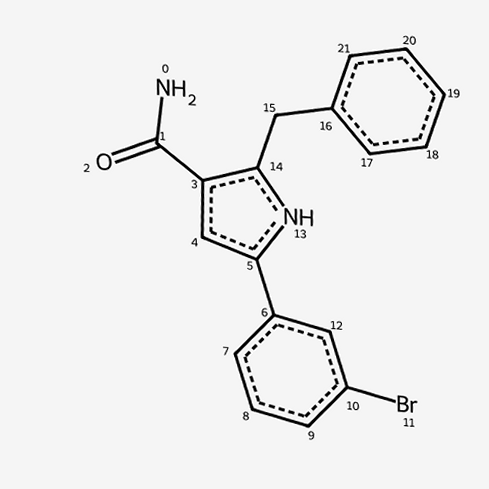 NC(=O)c1cc(-c2cccc(Br)c2)[nH]c1Cc1ccccc1